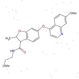 COCCNC(=O)C1c2ccc(Oc3ccnc4cc(OC)ccc34)cc2OC1C